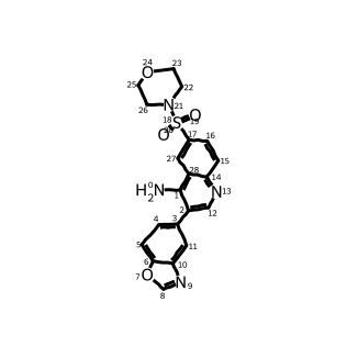 Nc1c(-c2ccc3ocnc3c2)cnc2ccc(S(=O)(=O)N3CCOCC3)cc12